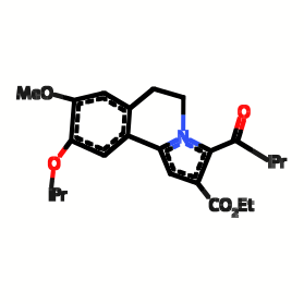 CCOC(=O)c1cc2n(c1C(=O)C(C)C)CCc1cc(OC)c(OC(C)C)cc1-2